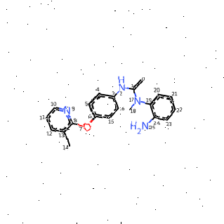 C=C(Nc1ccc(Oc2ncccc2C)cc1)N(C)c1ccccc1N